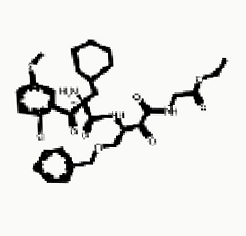 CCOC(=O)CNC(=O)C(=O)C(COCc1ccccc1)NC(=O)[C@@](N)(CC1CCCCC1)C(=O)c1cc(SC)ccc1Cl